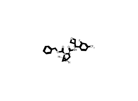 O=C(N[C@@H](c1ccc(C(F)(F)F)cc1F)C1COC1)[C@H]1C[C@H]2C[C@H]2N1C(=O)OCc1ccccc1